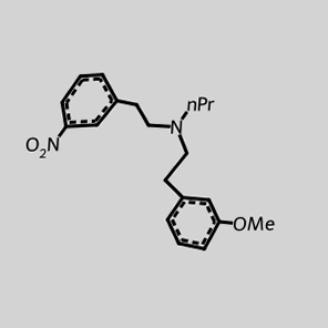 CCCN(CCc1cccc(OC)c1)CCc1cccc([N+](=O)[O-])c1